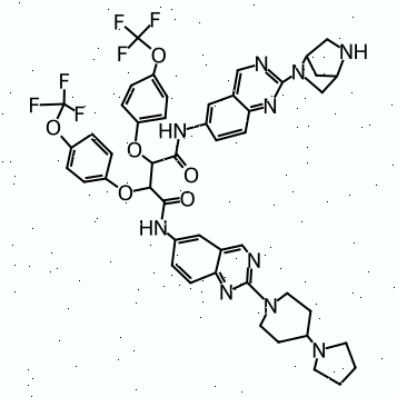 O=C(Nc1ccc2nc(N3CCC(N4CCCC4)CC3)ncc2c1)C(Oc1ccc(OC(F)(F)F)cc1)C(Oc1ccc(OC(F)(F)F)cc1)C(=O)Nc1ccc2nc(N3CC4CC3CN4)ncc2c1